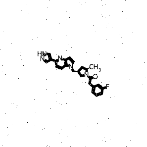 C[C@H]1C[C@H](Cn2ccc3nc(-c4cn[nH]c4)ccc32)CN1C(=O)Cc1cccc(F)c1